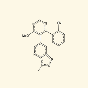 COc1ncnc(-c2ccccc2C#N)c1-c1cnc2c(c1)nnn2C